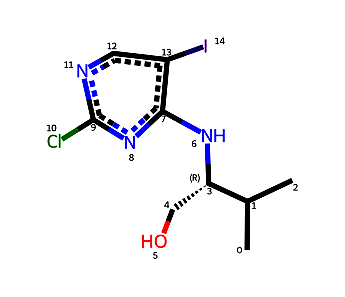 CC(C)[C@H](CO)Nc1nc(Cl)ncc1I